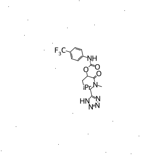 CC(C)CC(OC(=O)Nc1ccc(C(F)(F)F)cc1)C(=O)N(C)Cc1nnn[nH]1